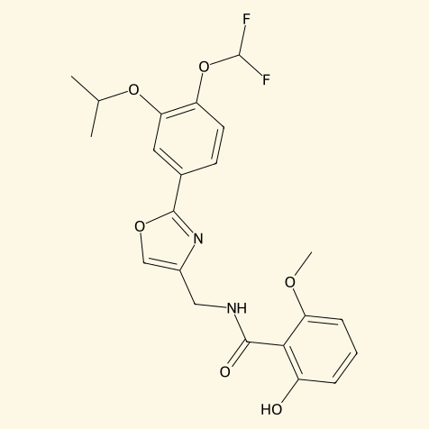 COc1cccc(O)c1C(=O)NCc1coc(-c2ccc(OC(F)F)c(OC(C)C)c2)n1